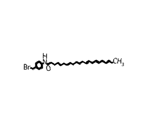 CCC=CCC=CCC=CCC=CCC=CCC=CCCC(=O)Nc1ccc(CBr)cc1